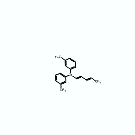 C/C=C/C=[CH]/[Zr]([c]1cccc(C)c1)[c]1cccc(C)c1